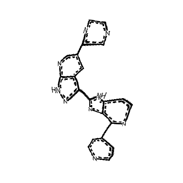 c1cc(-c2nccc3[nH]c(-c4n[nH]c5ncc(-c6cnccn6)cc45)nc23)ccn1